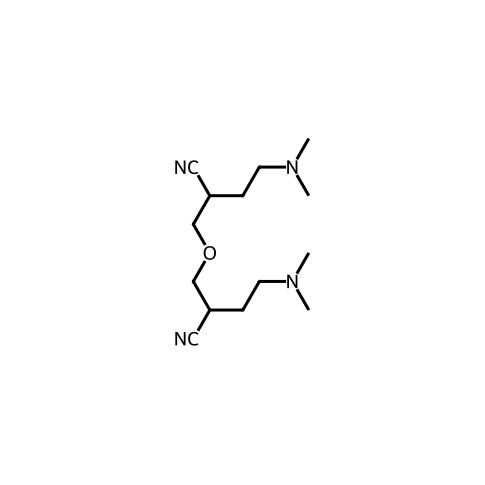 CN(C)CCC(C#N)COCC(C#N)CCN(C)C